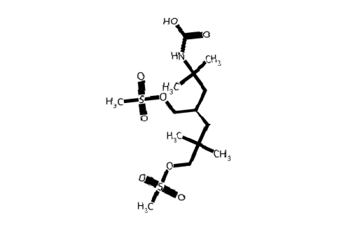 CC(C)(COS(C)(=O)=O)C[C@@H](COS(C)(=O)=O)CC(C)(C)NC(=O)O